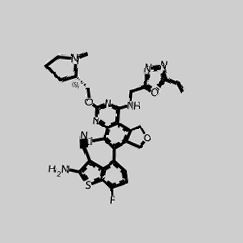 CCc1nnc(CNc2nc(OC[C@@H]3CCCN3C)nc3c(Cl)c(-c4ccc(F)c5sc(N)c(C#N)c45)c4c(c23)COC4)o1